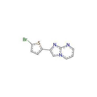 Brc1ccc(-c2cn3cccnc3n2)s1